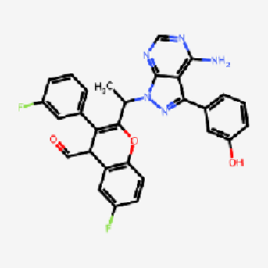 CC(C1=C(c2cccc(F)c2)C(C=O)c2cc(F)ccc2O1)n1nc(-c2cccc(O)c2)c2c(N)ncnc21